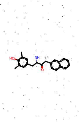 Cc1cc(C[C@H]([NH])C(=O)[C@H](C)c2ccc3ccccc3c2)cc(C)c1O